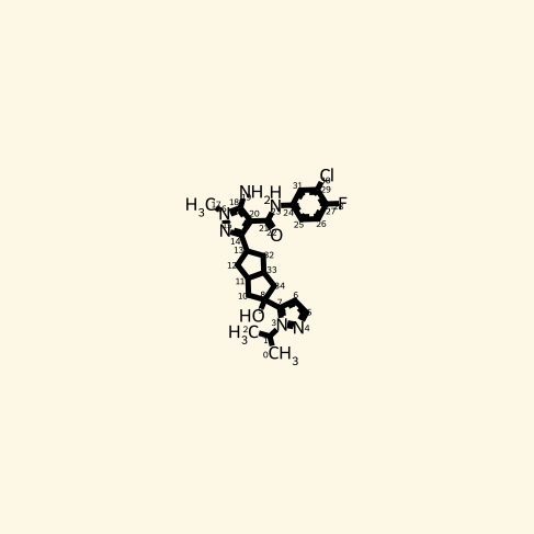 CC(C)n1nccc1C1(O)CC2CC(c3nn(C)c(N)c3C(=O)Nc3ccc(F)c(Cl)c3)CC2C1